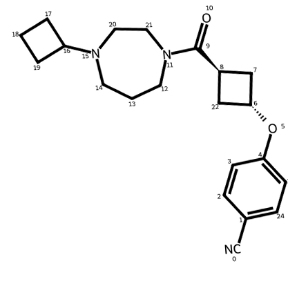 N#Cc1ccc(O[C@H]2C[C@H](C(=O)N3CCCN(C4CCC4)CC3)C2)cc1